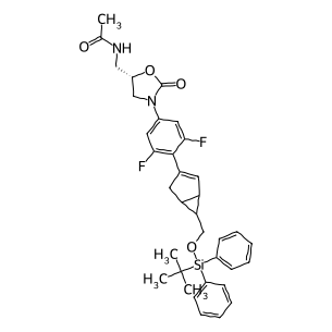 CC(=O)NC[C@H]1CN(c2cc(F)c(C3=CC4C(CO[Si](c5ccccc5)(c5ccccc5)C(C)(C)C)C4C3)c(F)c2)C(=O)O1